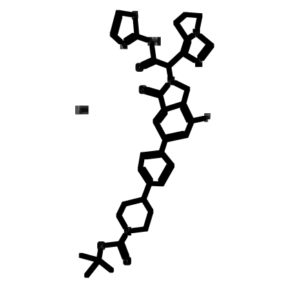 CC(C)(C)OC(=O)N1CCC(c2ccc(-c3cc(F)c4c(c3)C(=O)N(C(C(=O)Nc3nccs3)c3ncn5c3CCC5)C4)cc2)CC1.[LiH]